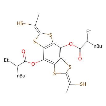 CCCCC(CC)C(=O)Oc1c2c(c(OC(=O)C(CC)CCCC)c3c1SC(=C(C)S)S3)SC(=C(C)S)S2